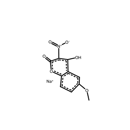 COc1ccc2oc(=O)c([N+](=O)[O-])c(O)c2c1.[Na+]